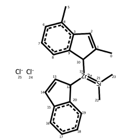 CC1=Cc2c(C)cccc2[CH]1[Zr+2]([CH]1C=Cc2ccccc21)=[Si](C)C.[Cl-].[Cl-]